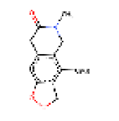 COc1c2c(cc3c1COO3)CC(=O)N(C)C2